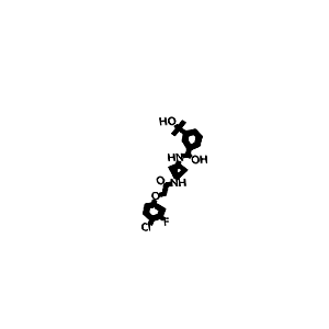 CC(C)(O)c1cccc(C(O)NC23CC(NC(=O)COc4ccc(Cl)c(F)c4)(C2)C3)c1